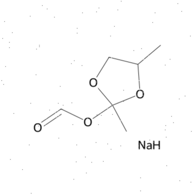 CC1COC(C)(OC=O)O1.[NaH]